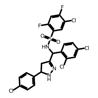 O=S(=O)(NC(C1=NNC(c2ccc(Cl)cc2)C1)c1ccc(Cl)cc1Cl)c1cc(Cl)c(F)cc1F